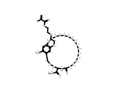 C=C(C)C(=O)OCCOCCOc1cc2c([N+](=O)[O-])cc1OCCOCCOCCOCCOCCC(=O)NC(C(=O)OC)CSC2